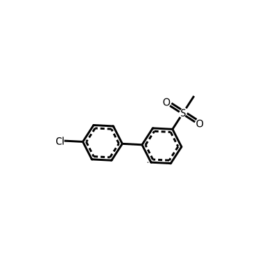 CS(=O)(=O)c1cc[c]c(-c2ccc(Cl)cc2)c1